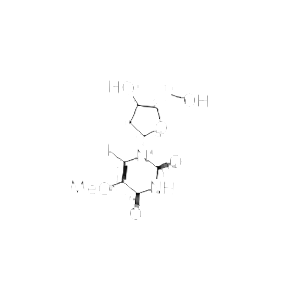 COc1c(I)n([C@@H]2CC(O)[C@H](CO)O2)c(=O)[nH]c1=O